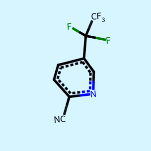 N#Cc1ccc(C(F)(F)C(F)(F)F)cn1